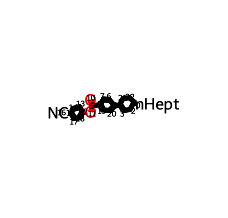 CCCCCCCC1CC=C(c2ccc(C(=O)Oc3ccc(C#N)cc3)cc2)CC1